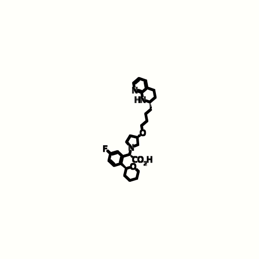 O=C(O)[C@H](c1cc(F)ccc1[C@@H]1CCCCO1)N1CC[C@@H](OCCCC[C@H]2CCc3cccnc3N2)C1